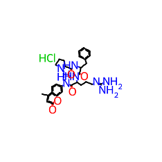 Cc1cc(=O)oc2cc(NC(=O)C(CCCN=C(N)N)NC(=O)C(Cc3ccccc3)NC(=O)C3CCCN3)ccc12.Cl